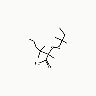 CCCC(C)(C)C(C)(OOC(C)(C)CC)C(=O)O